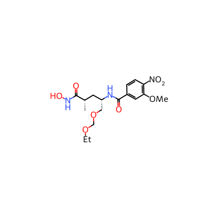 CCOCOC[C@H](C[C@H](C)C(=O)NO)NC(=O)c1ccc([N+](=O)[O-])c(OC)c1